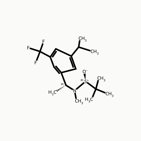 CC(C)c1cc([C@@H](C)N(C)[S@@+]([O-])C(C)(C)C)cc(C(F)(F)F)c1